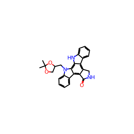 CC1(C)OCC(Cn2c3ccccc3c3c4c(c5c6ccccc6[nH]c5c32)CNC4=O)O1